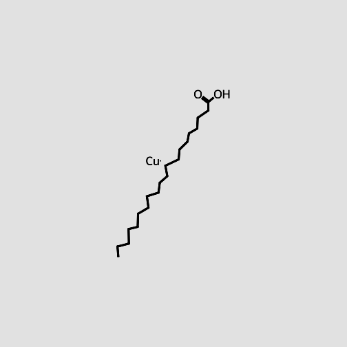 CCCCCCCCCCCCCCCCCCCC(=O)O.[Cu]